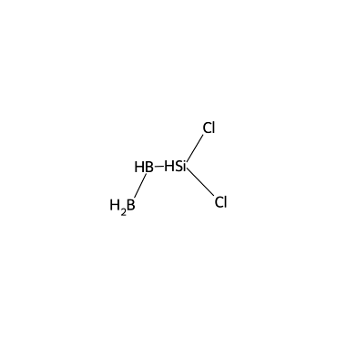 BB[SiH](Cl)Cl